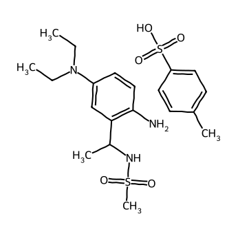 CCN(CC)c1ccc(N)c(C(C)NS(C)(=O)=O)c1.Cc1ccc(S(=O)(=O)O)cc1